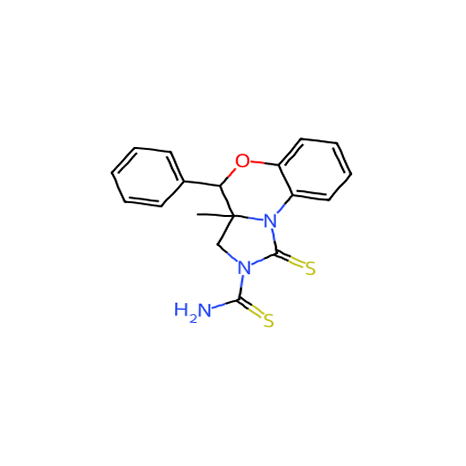 CC12CN(C(N)=S)C(=S)N1c1ccccc1OC2c1ccccc1